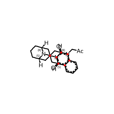 CC(=O)Cn1c(=O)n(C2C[C@H]3CCC[C@@H](C2)N3C2C[C@H]3CCC[C@@H](C2)C3)c(=O)c2ccccc21